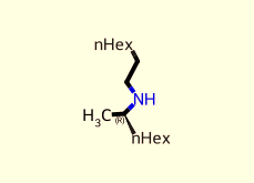 CCCCCCCCN[C@H](C)CCCCCC